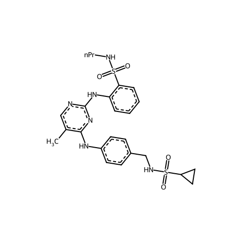 CCCNS(=O)(=O)c1ccccc1Nc1ncc(C)c(Nc2ccc(CNS(=O)(=O)C3CC3)cc2)n1